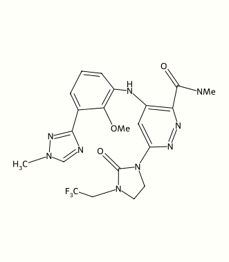 CNC(=O)c1nnc(N2CCN(CC(F)(F)F)C2=O)cc1Nc1cccc(-c2ncn(C)n2)c1OC